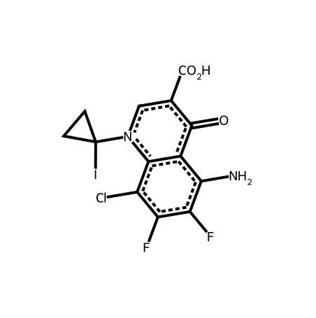 Nc1c(F)c(F)c(Cl)c2c1c(=O)c(C(=O)O)cn2C1(I)CC1